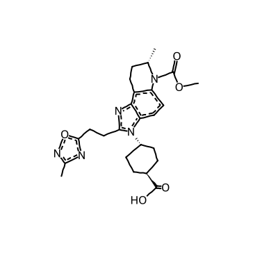 COC(=O)N1c2ccc3c(nc(CCc4nc(C)no4)n3[C@H]3CC[C@H](C(=O)O)CC3)c2CC[C@@H]1C